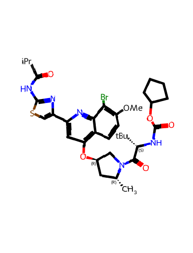 COc1ccc2c(O[C@@H]3C[C@@H](C)N(C(=O)[C@@H](NC(=O)OC4CCCC4)C(C)(C)C)C3)cc(-c3csc(NC(=O)C(C)C)n3)nc2c1Br